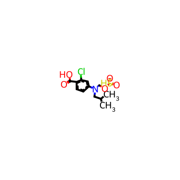 CC(C)CN(CO[SH](=O)=O)c1ccc(C(=O)O)c(Cl)c1